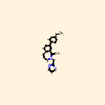 C=C1c2cc(-c3ccc(CC(F)(F)F)cc3)ccc2CCCN1Cc1ncccn1